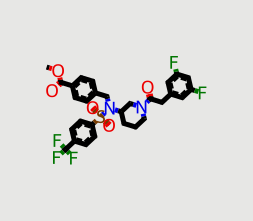 COC(=O)c1ccc(CN(C2CCCN(C(=O)Cc3cc(F)cc(F)c3)C2)S(=O)(=O)c2ccc(C(F)(F)F)cc2)cc1